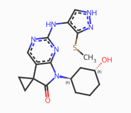 CSc1n[nH]cc1Nc1ncc2c(n1)N([C@@H]1CCC[C@@H](O)C1)C(=O)C21CC1